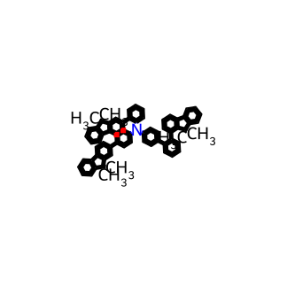 CC1(C)c2ccccc2-c2ccc(-c3ccc(N(c4ccc(-c5ccccc5-c5cccc6c5C(C)(C)c5ccccc5-6)cc4)c4ccccc4-c4ccc5c(c4)C(C)(C)c4ccccc4-5)cc3)cc21